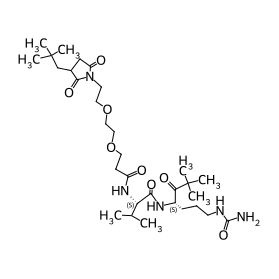 CC(C)[C@H](NC(=O)CCOCCOCCN1C(=O)CC(CC(C)(C)C)C1=O)C(=O)N[C@@H](CCCNC(N)=O)C(=O)C(C)(C)C